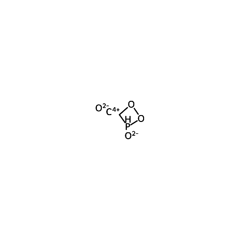 C1OOP1.[C+4].[O-2].[O-2]